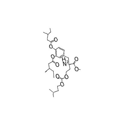 CCC(C)CC(=O)Oc1ccc(C[C@](N)(CCOC(=O)OCCC(C)C)C(=O)OC)cc1OC(=O)CC(C)CC